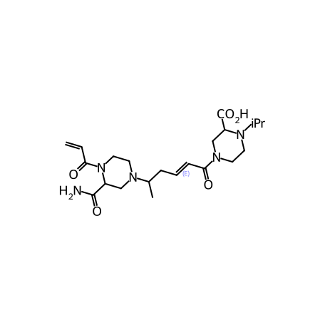 C=CC(=O)N1CCN(C(C)C/C=C/C(=O)N2CCN(C(C)C)C(C(=O)O)C2)CC1C(N)=O